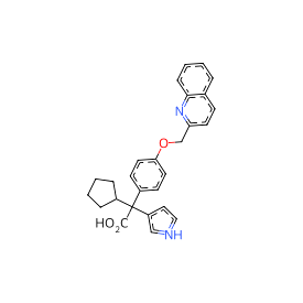 O=C(O)C(c1ccc(OCc2ccc3ccccc3n2)cc1)(c1cc[nH]c1)C1CCCC1